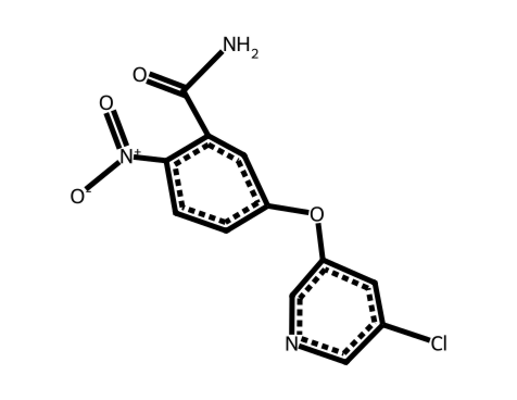 NC(=O)c1cc(Oc2cncc(Cl)c2)ccc1[N+](=O)[O-]